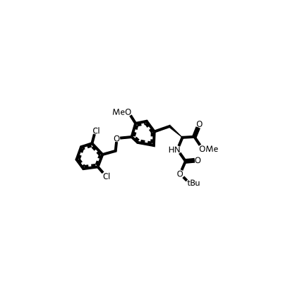 COC(=O)[C@H](Cc1ccc(OCc2c(Cl)cccc2Cl)c(OC)c1)NC(=O)OC(C)(C)C